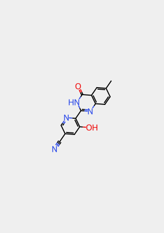 Cc1ccc2nc(-c3ncc(C#N)cc3O)[nH]c(=O)c2c1